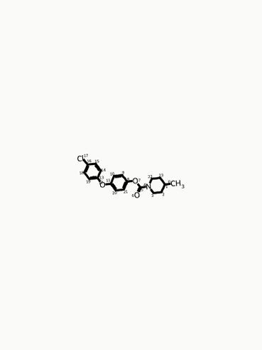 CC1CCN(C(=O)Oc2ccc(Oc3ccc(Cl)cc3)cc2)CC1